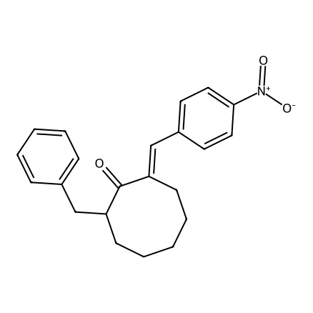 O=C1C(=Cc2ccc([N+](=O)[O-])cc2)CCCCCC1Cc1ccccc1